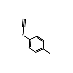 C#COc1ccc(C)cc1